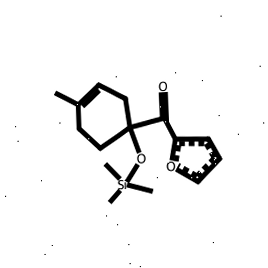 CC1=CCC(O[Si](C)(C)C)(C(=O)c2ccco2)CC1